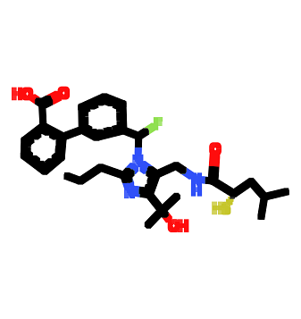 CCCc1nc(C(C)(C)O)c(CNC(=O)[C@@H](S)CC(C)C)n1C(F)c1cccc(-c2ccccc2C(=O)O)c1